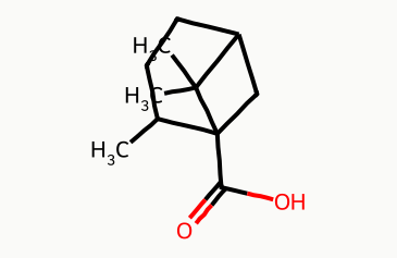 CC1CCC2CC1(C(=O)O)C2(C)C